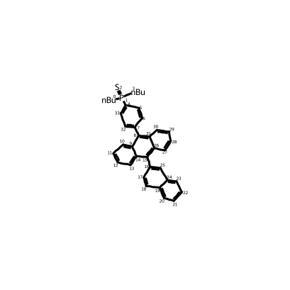 CCCCP(=S)(CCCC)c1ccc(-c2c3ccccc3c(-c3ccc4ccccc4c3)c3ccccc23)cc1